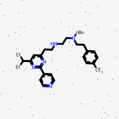 CCCCN(CCNCCc1cc(C(CC)CC)nc(-c2ccncc2)n1)CCc1ccc(C(F)(F)F)cc1